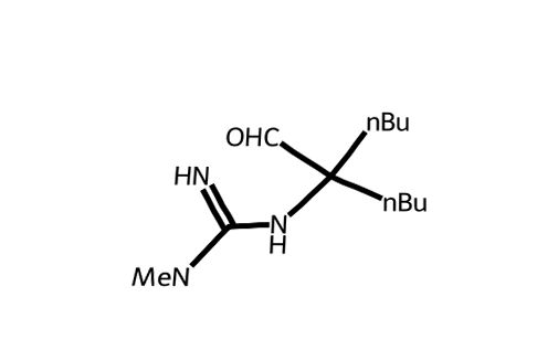 CCCCC(C=O)(CCCC)NC(=N)NC